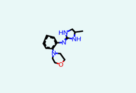 CC1CN/C(=N\c2ccccc2N2CCOCC2)N1